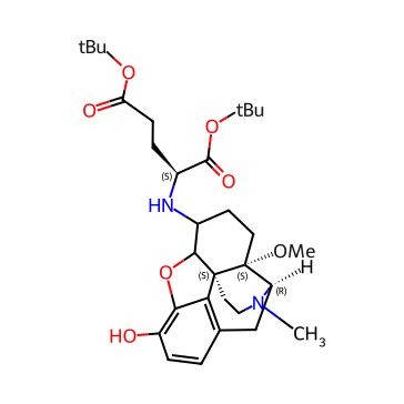 CO[C@@]12CCC(N[C@@H](CCC(=O)OC(C)(C)C)C(=O)OC(C)(C)C)C3Oc4c(O)ccc5c4[C@@]31CCN(C)[C@@H]2C5